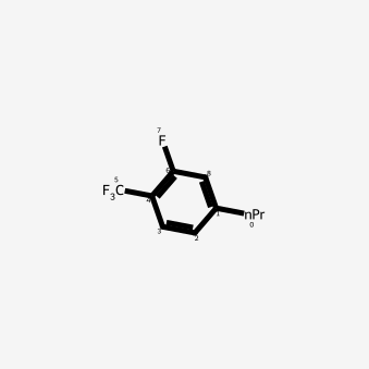 CCCc1ccc(C(F)(F)F)c(F)c1